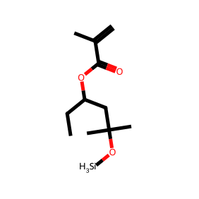 C=C(C)C(=O)OC(CC)CC(C)(C)O[SiH3]